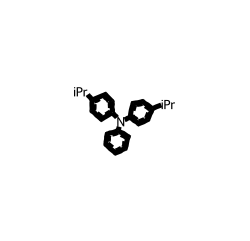 CC(C)c1ccc(N(c2ccccc2)c2ccc(C(C)C)cc2)cc1